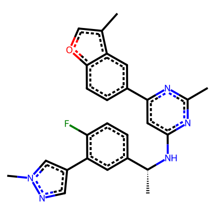 Cc1nc(N[C@H](C)c2ccc(F)c(-c3cnn(C)c3)c2)cc(-c2ccc3occ(C)c3c2)n1